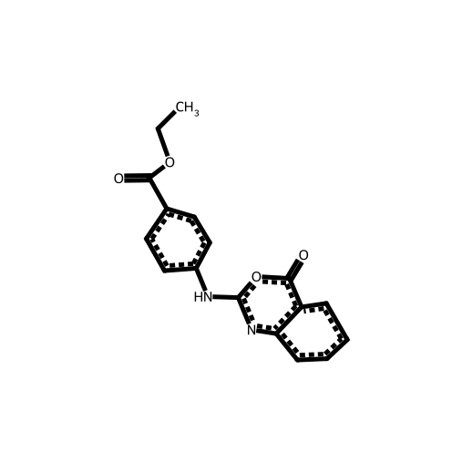 CCOC(=O)c1ccc(Nc2nc3ccccc3c(=O)o2)cc1